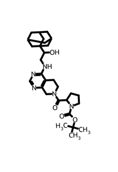 CC(C)(C)OC(=O)N1CCCC1C(=O)N1CCc2c(ncnc2NCC(O)C23CC4CC(CC(C4)C2)C3)C1